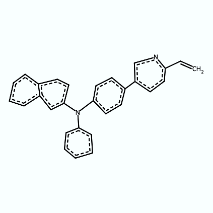 C=Cc1ccc(-c2ccc(N(c3ccccc3)c3ccc4ccccc4c3)cc2)cn1